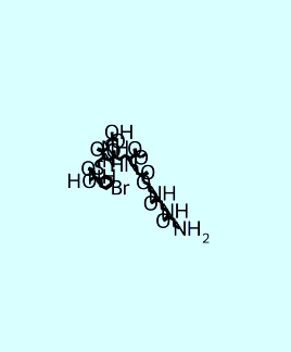 COC(=O)C(CCC(=O)NC(CSC(=O)N(O)c1ccc(Br)cc1)C(=O)NCC(=O)O)NCCC(=O)OCCNC(=O)CCNC(=O)CCN